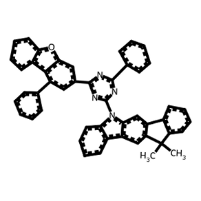 CC1(C)c2ccccc2-c2cc3c(cc21)c1ccccc1n3-c1nc(-c2ccccc2)nc(-c2cc(-c3ccccc3)c3c(c2)oc2ccccc23)n1